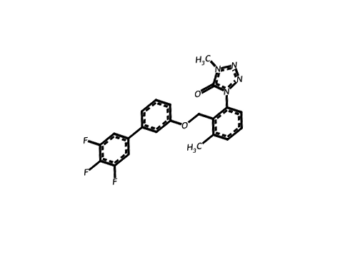 Cc1cccc(-n2nnn(C)c2=O)c1COc1cccc(-c2cc(F)c(F)c(F)c2)c1